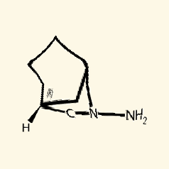 NN1C[C@@H]2CCC1C2